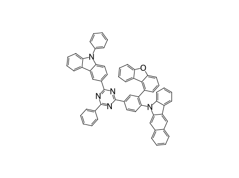 c1ccc(-c2nc(-c3ccc(-n4c5ccccc5c5cc6ccccc6cc54)c(-c4cccc5oc6ccccc6c45)c3)nc(-c3ccc4c(c3)c3ccccc3n4-c3ccccc3)n2)cc1